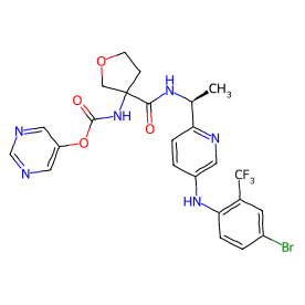 C[C@H](NC(=O)C1(NC(=O)Oc2cncnc2)CCOC1)c1ccc(Nc2ccc(Br)cc2C(F)(F)F)cn1